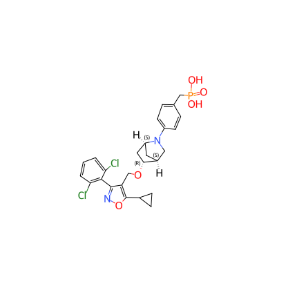 O=P(O)(O)Cc1ccc(N2C[C@@H]3C[C@H]2C[C@H]3OCc2c(-c3c(Cl)cccc3Cl)noc2C2CC2)cc1